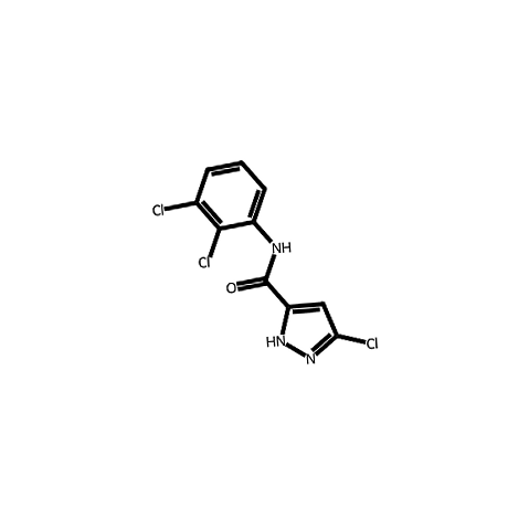 O=C(Nc1cccc(Cl)c1Cl)c1cc(Cl)n[nH]1